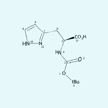 CC(C)(C)OC(=O)N[C@@H](Cc1cc[nH]n1)C(=O)O